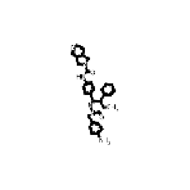 CCC(/C(=N\N(C=O)Cc1ccc(N)cc1)c1ccc(NC(=O)N2Cc3ccncc3C2)cc1)c1ccccc1